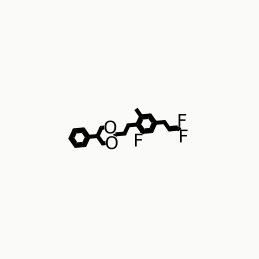 Cc1cc(CC=C(F)F)cc(F)c1CCC1OCC(c2ccccc2)CO1